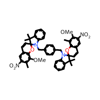 COc1c([N+](=O)[O-])cc2c(c1C)OC1(C=C2)N(Cc2ccc(CN3c4ccccc4C(C)(C)C34C=Cc3cc([N+](=O)[O-])c(C)c(OC)c3O4)cc2)c2ccccc2C1(C)C